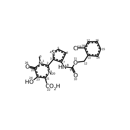 Cn1c(-c2sccc2NC(=O)OCc2ccccc2Cl)nc(C(=O)O)c(O)c1=O